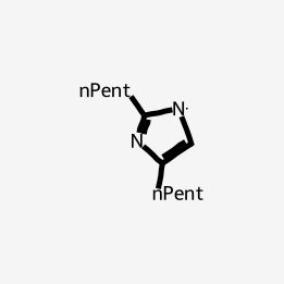 CCCCCC1=C[N]C(CCCCC)=N1